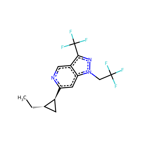 CC[C@H]1C[C@@H]1c1cc2c(cn1)c(C(F)(F)F)nn2CC(F)(F)F